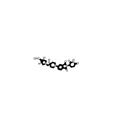 O=CC1[C@H]2CN(CC3(O)CCN(c4ccc5c(c4)C(=O)N(C4CCC(=O)NC4=O)C5=O)CC3)C[C@@H]12